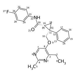 CCc1nc(C)ncc1OC[C@@]1(c2ccccc2)C[C@H]1C(=O)Nc1ccc(F)cc1